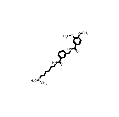 COc1ccc(C(=O)NCc2cccc(C(=O)NCCCCCCN(C)C)c2)cc1OC